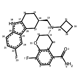 NC(=O)c1ccc(F)c2c1C[C@@H](N(C[C@@H]1CCc3[nH]c4ccc(F)cc4c3C1)C1CCC1)CO2